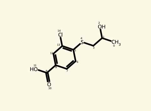 CC(O)CSc1ccc(C(=O)O)cc1Cl